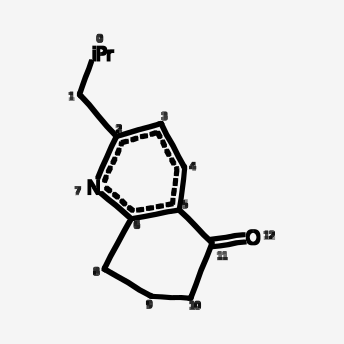 CC(C)Cc1ccc2c(n1)CCCC2=O